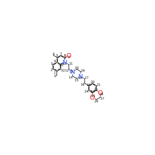 Cc1ccc2c(C)cc(=O)n(CCN3CCN(CCc4ccc5c(c4)OCCO5)CC3)c2c1